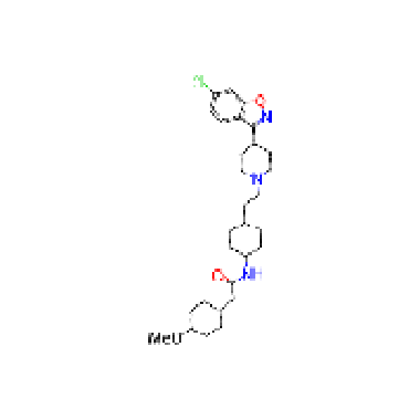 COC1CCC(CC(=O)NC2CCC(CCN3CCC(c4noc5cc(Cl)ccc45)CC3)CC2)CC1